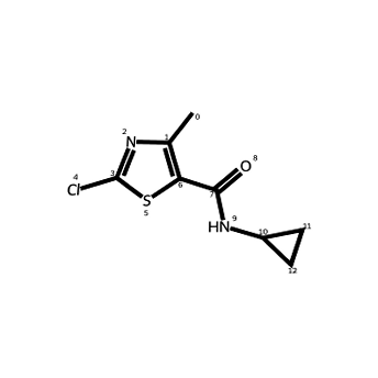 Cc1nc(Cl)sc1C(=O)NC1CC1